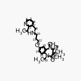 CCc1ncccc1CNCCCOc1ccc2c(c1)N(C)C(=O)C(C)(C)C(=O)N2CC